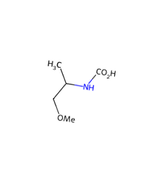 COCC(C)NC(=O)O